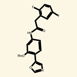 COc1cc(NC(=O)Cc2cc(F)ccc2F)ccc1-c1cnco1